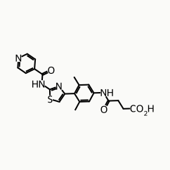 Cc1cc(NC(=O)CCC(=O)O)cc(C)c1-c1csc(NC(=O)c2ccncc2)n1